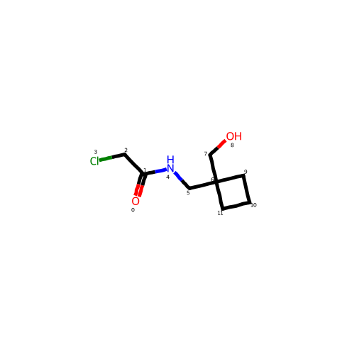 O=C(CCl)NCC1(CO)CCC1